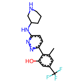 Cc1cc(C(F)(F)F)cc(O)c1-c1ccc(NC2CCCNC2)nn1